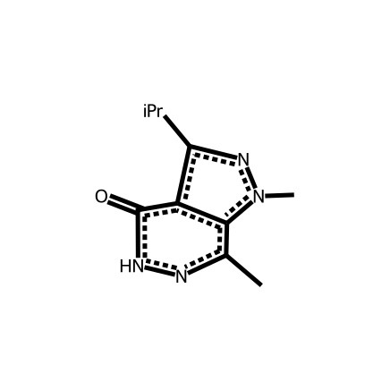 Cc1n[nH]c(=O)c2c(C(C)C)nn(C)c12